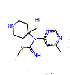 CSC(=N)N(c1cc(C)ncn1)C1(C)CCNCC1.I